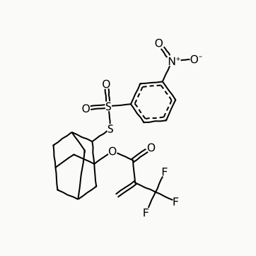 C=C(C(=O)OC12CC3CC(CC(C3)C1SS(=O)(=O)c1cccc([N+](=O)[O-])c1)C2)C(F)(F)F